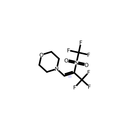 O=S(=O)(/C(=C\N1CCOCC1)C(F)(F)F)C(F)(F)F